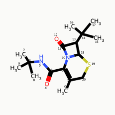 CC1=C(C(=O)NC(C)(C)C)N2C(=O)C(C(C)(C)C)C2SC1